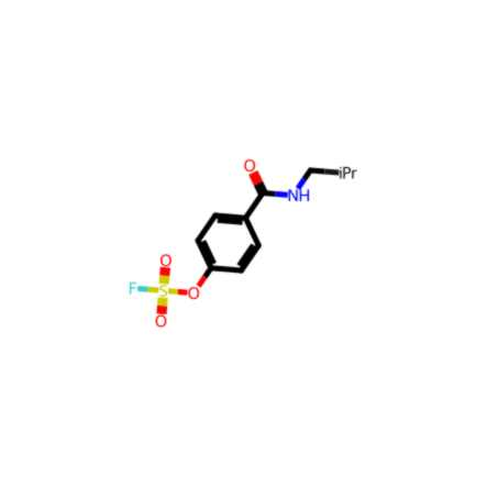 CC(C)CNC(=O)c1ccc(OS(=O)(=O)F)cc1